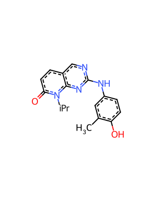 Cc1cc(Nc2ncc3ccc(=O)n(C(C)C)c3n2)ccc1O